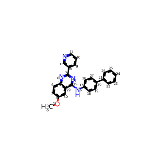 COc1ccc2nc(-c3cccnc3)nc(Nc3ccc(-c4ccccc4)cc3)c2c1